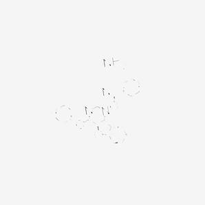 Cc1ccc(C(=O)N2CC(CN)C(C)CC2c2nc3c(oc4ccccc43)c(=O)n2Cc2ccccc2)cc1